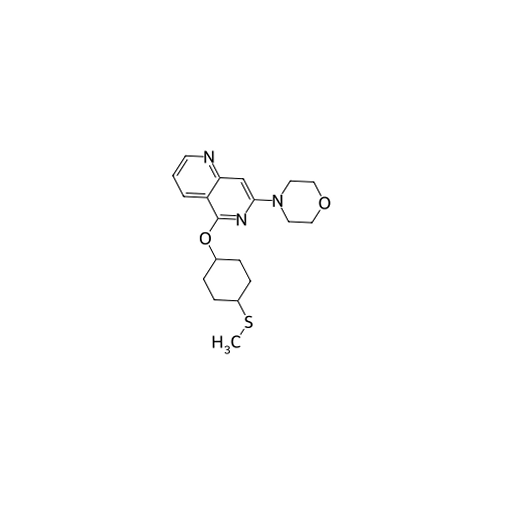 CSC1CCC(Oc2nc(N3CCOCC3)cc3ncccc23)CC1